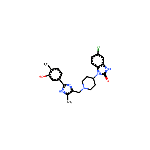 Cc1ccc(-c2nc(CN3CCC(n4c(=O)[nH]c5cc(Cl)ccc54)CC3)c(C)[nH]2)cc1O